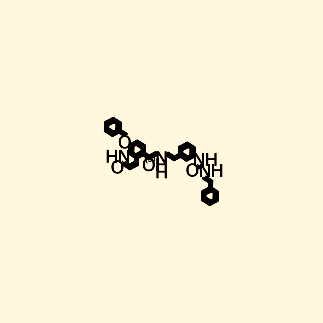 O=C(NCCc1ccccc1)Nc1cccc(CCNC[C@@H](O)c2ccc(OCc3ccccc3)c3[nH]c(=O)ccc23)c1